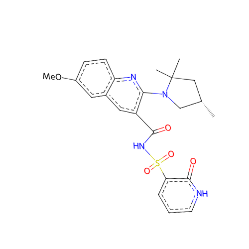 COc1ccc2nc(N3C[C@@H](C)CC3(C)C)c(C(=O)NS(=O)(=O)c3ccc[nH]c3=O)cc2c1